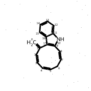 C=C1/C=C\C=C/C/C=C\c2[nH]c3ccccc3c21